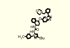 Cc1ccc(-n2nc(C(C)(C)C)cc2NC(=O)N[C@H]2CC[C@@H](Oc3ccc4nnc(-c5ccccc5CN5CCOCC5)n4c3)c3ccccc32)cc1